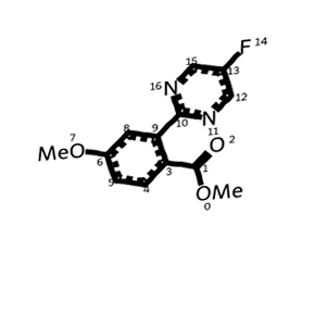 COC(=O)c1ccc(OC)cc1-c1ncc(F)cn1